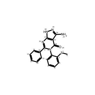 CSc1ccccc1-n1c(-c2ccccc2)nc2[nH]nc(N)c2c1=O